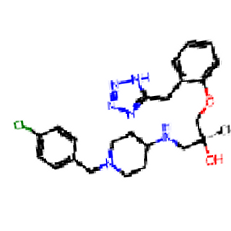 C[C@](O)(CNC1CCN(Cc2ccc(Cl)cc2)CC1)COc1ccccc1Cc1nnn[nH]1